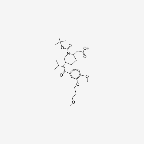 COCCCOc1cc(C(=O)N(C(C)C)C2CCC(CC(=O)O)N(C(=O)OC(C)(C)C)C2)ccc1OC